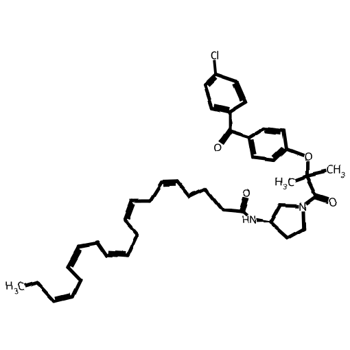 CC/C=C\C/C=C\C/C=C\C/C=C\C/C=C\CCCC(=O)N[C@@H]1CCN(C(=O)C(C)(C)Oc2ccc(C(=O)c3ccc(Cl)cc3)cc2)C1